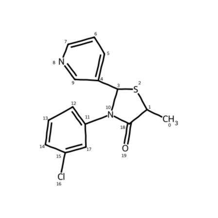 CC1SC(c2cccnc2)N(c2cccc(Cl)c2)C1=O